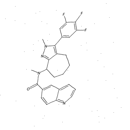 CN(C(=O)c1ccc2ncccc2c1)C1CCCCc2c1nn(C)c2-c1cc(F)c(F)c(F)c1